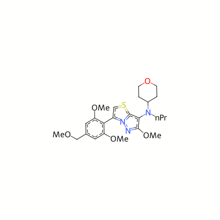 CCCN(c1c(OC)nn2c(-c3c(OC)cc(COC)cc3OC)csc12)C1CCOCC1